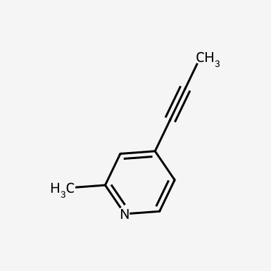 CC#Cc1ccnc(C)c1